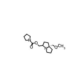 COC[C@]12CCCN1C(COC(=O)N1CCCC1)CC2